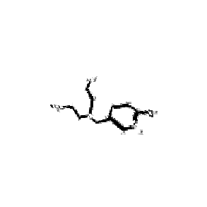 CCCN(CCCl)Cc1ccc(Cl)nc1